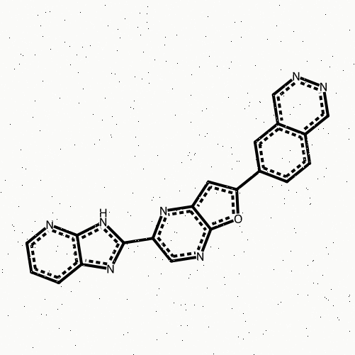 c1cnc2[nH]c(-c3cnc4oc(-c5ccc6cnncc6c5)cc4n3)nc2c1